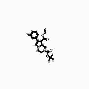 CCOC(=O)C1C(c2cccc(F)c2)=CN2CCN(C(=O)OC(C)(C)C)CC12